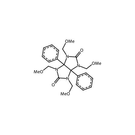 COCN1C(=O)N(COC)C2(c3ccccc3)N(COC)C(=O)N(COC)C12c1ccccc1